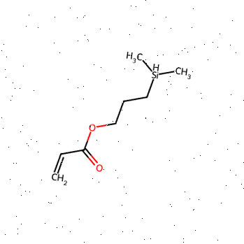 C=CC(=O)OCCC[SiH](C)C